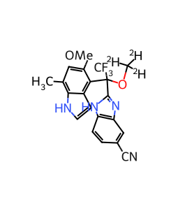 [2H]C([2H])([2H])OC(c1nc2cc(C#N)ccc2[nH]1)(c1c(OC)cc(C)c2[nH]ccc12)C(F)(F)F